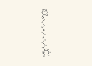 C=CC(=O)OCCCCCCCCCCCCc1ccccn1